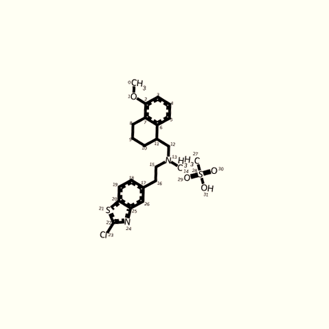 COc1cccc2c1CCCC2CN(C)CCc1ccc2sc(Cl)nc2c1.CS(=O)(=O)O